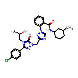 CC1CCCC(NC(=O)c2ccccc2-n2cnc(Cn3nc(-c4ccc(Cl)cc4)n(CC(O)C(F)(F)F)c3=O)n2)C1